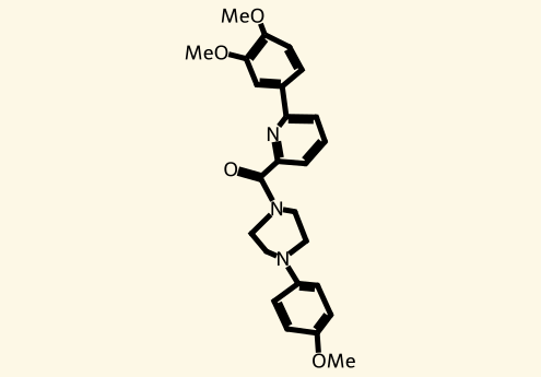 COc1ccc(N2CCN(C(=O)c3cccc(-c4ccc(OC)c(OC)c4)n3)CC2)cc1